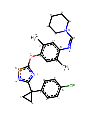 Cc1cc(Oc2nc(C3(c4ccc(Cl)cc4)CC3)ns2)c(C)cc1/N=C\N1CCCCC1